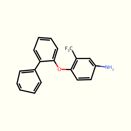 Nc1ccc(Oc2ccccc2-c2ccccc2)c(C(F)(F)F)c1